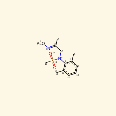 CC(=O)ON=C(C)CN(c1c(C)cccc1C)S(C)(=O)=O